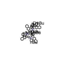 C=NC1=N/C(=N\c2c3c(OCCCC)c4ccccc4cc3c3n2[Si](OCCCC)(OCCCC)N2Cc4cc5ccccc5c(OCCCC)c4/C2=N/C2N/C(=N\3)c3c2cc2ccccc2c3OCCCC)c2cc3ccccc3c(OCCCC)c21